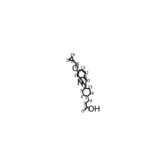 CC(O)CC[C@H]1CC[C@H](n2cc3ccc(OCC4CC4)cc3n2)CC1